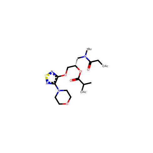 CC(=O)OCC(=O)N(C[C@@H](COc1nsnc1N1CCOCC1)OC(=O)C(C)OC(C)=O)C(C)(C)C